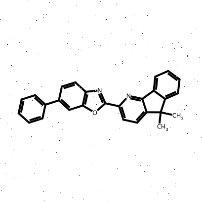 CC1(C)c2ccccc2-c2nc(-c3nc4ccc(-c5ccccc5)cc4o3)ccc21